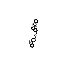 CN(C)C1(c2ccccc2)CCC(COCc2ccc3c(ccn3S(=O)(=O)c3ccccc3)c2)CC1